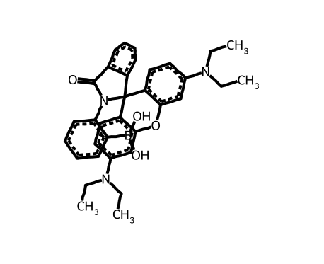 CCN(CC)c1ccc2c(c1)Oc1cc(N(CC)CC)ccc1C21c2ccccc2C(=O)N1c1ccccc1B(O)O